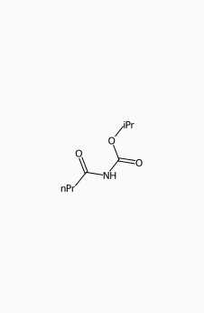 CCCC(=O)NC(=O)OC(C)C